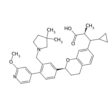 COc1cc(-c2ccc([C@@H]3CCc4ccc(C(C5CC5)[C@H](C)C(=O)O)cc4O3)cc2CN2CCC(C)(C)C2)ccn1